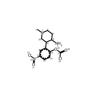 CN1CCC(N)C(c2cc([N+](=O)[O-])ccc2OC(=O)Cl)C1